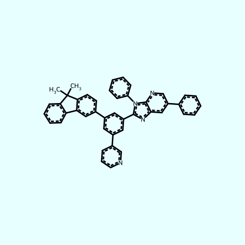 CC1(C)c2ccccc2-c2cc(-c3cc(-c4cccnc4)cc(-c4nc5cc(-c6ccccc6)cnc5n4-c4ccccc4)c3)ccc21